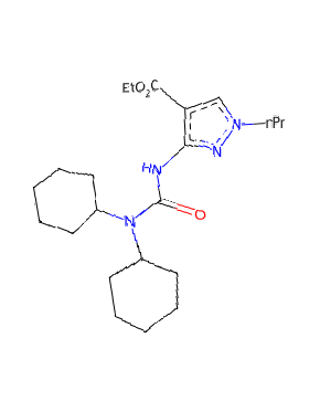 CCCn1cc(C(=O)OCC)c(NC(=O)N(C2CCCCC2)C2CCCCC2)n1